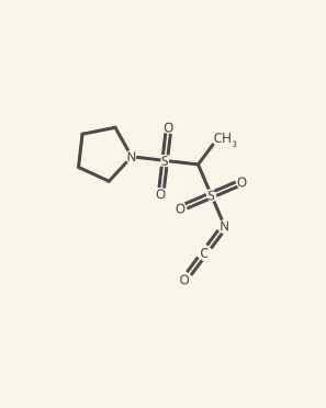 CC(S(=O)(=O)N=C=O)S(=O)(=O)N1CCCC1